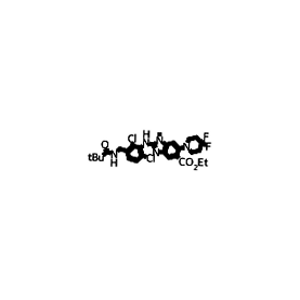 CCOC(=O)c1cc2nc(Nc3c(Cl)ccc(CNC(=O)C(C)(C)C)c3Cl)n(C)c2cc1N1CCC(F)(F)CC1